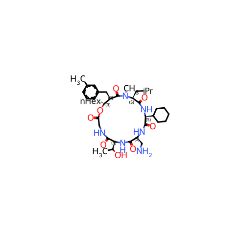 CCCCCC[C@H]1OC(=O)CNC(=O)[C@H](C(C)O)NC(=O)[C@H](CN)NC(=O)[C@H](C2CCCCC2)NC(=O)[C@H](CC(C)C)N(C)C(=O)[C@@H]1Cc1cccc(C)c1